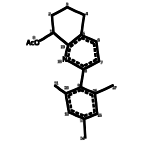 CC(=O)OC1CCCc2ccc(-c3c(C)cc(C)cc3C)nc21